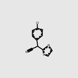 N#CC(c1ccc(Cl)cc1)c1nccs1